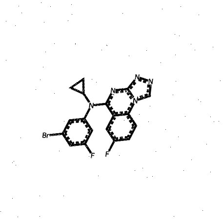 Fc1cc(Br)cc(N(c2nc3nncn3c3ccc(F)cc23)C2CC2)c1